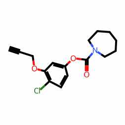 C#CCOc1cc(OC(=O)N2CCCCCC2)ccc1Cl